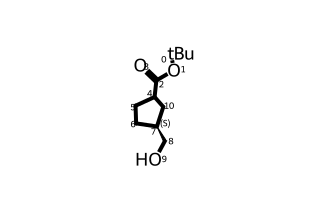 CC(C)(C)OC(=O)C1CC[C@H](CO)C1